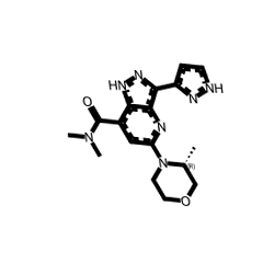 C[C@@H]1COCCN1c1cc(C(=O)N(C)C)c2[nH]nc(-c3cc[nH]n3)c2n1